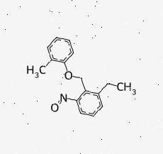 CCc1cccc(N=O)c1COc1ccccc1C